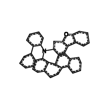 c1ccc(-c2ccccc2N(c2ccc3c(c2)oc2ccccc23)c2cccc3ccc4c5ccccc5ccc4c23)cc1